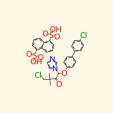 CC(C)(CCl)C(=O)C(Oc1ccc(-c2ccc(Cl)cc2)cc1)n1ccnc1.O=S(=O)(O)c1cccc2c(S(=O)(=O)O)cccc12